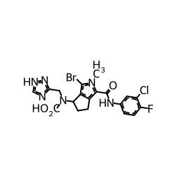 Cn1c(Br)c2c(c1C(=O)Nc1ccc(F)c(Cl)c1)CCC2N(Cc1nc[nH]n1)C(=O)O